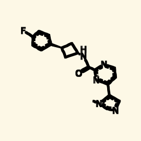 Cn1cncc1-c1ccnc(C(=O)N[C@H]2C[C@H](c3ccc(F)cc3)C2)n1